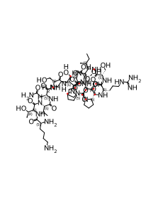 CC[C@H](C)[C@H](NC(=O)[C@H](CO)NC(=O)[C@H](CCCNC(=N)N)NC(=O)[C@@H]1CCCN1C(=O)[C@@H]1CCCN1C(=O)[C@H](CO)NC(=O)[C@H](CO)NC(=O)[C@H](CC(N)=O)NC(=O)[C@@H](NC(=O)[C@@H](NC(=O)[C@@H](N)CCCCN)[C@@H](C)O)C(C)C)C(=O)N[C@@H](CCCCN)C(=O)N[C@H](C(=O)N1CCC[C@H]1C(=O)N[C@@H](CO)C(=O)O)[C@@H](C)O